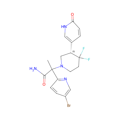 CC(C(N)=O)(c1ccc(Br)cn1)N1CCC(F)(F)[C@@H](c2ccc(=O)[nH]c2)C1